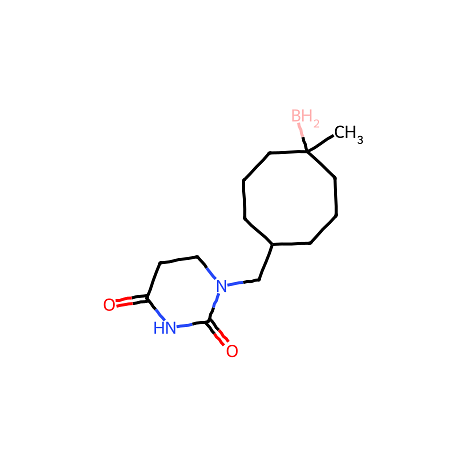 BC1(C)CCCC(CN2CCC(=O)NC2=O)CCC1